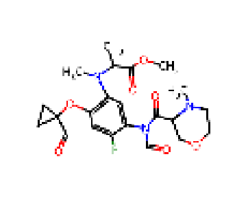 COC(=O)C(C)N(C)c1cc(N(C=O)C(=O)C2COCCN2C)c(F)cc1OC1(C=O)CC1